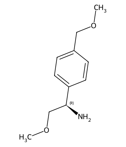 COCc1ccc([C@@H](N)COC)cc1